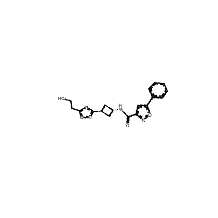 O=C(N[C@H]1C[C@H](c2noc(CCO)n2)C1)c1cc(-c2ccccc2)on1